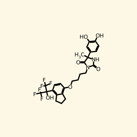 CC1(c2ccc(O)c(O)c2)NC(=O)N(CCCCOc2ccc(C(O)(C(F)(F)F)C(F)(F)F)c3c2CCC3)C1=O